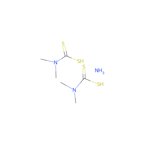 CN(C)C(=S)S.CN(C)C(=S)S.N